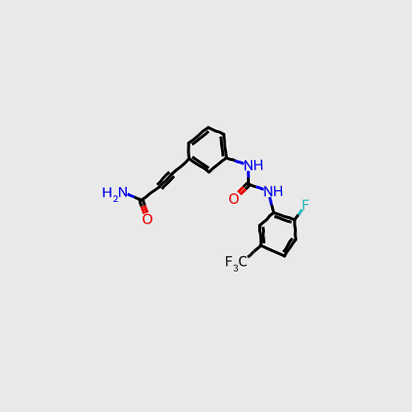 NC(=O)C#Cc1cccc(NC(=O)Nc2cc(C(F)(F)F)ccc2F)c1